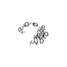 CC(C)C(NC(=O)CCCOC(C)(C)CCOC(C)(C)CCC(=O)C(C)(C)C)C(=O)N[C@@H](C)C(=O)Nc1ccc(CC(C)(C)C)cc1